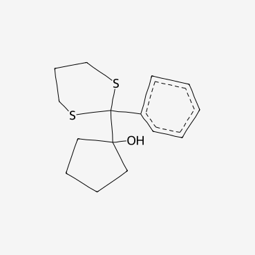 OC1(C2(c3ccccc3)SCCCS2)CCCC1